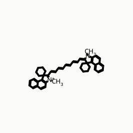 CN1/C(=C/C=C/C=C/C=C/C=C/C2=[N+](C)c3ccc4ccccc4c3C23CCCCC3)C2(CCCCC2)c2c1ccc1ccccc21